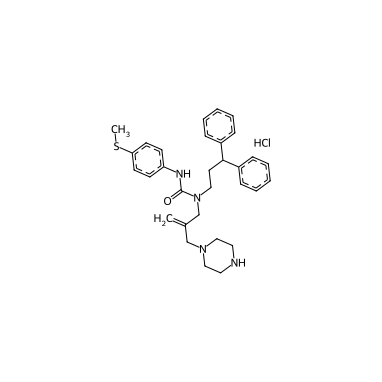 C=C(CN1CCNCC1)CN(CCC(c1ccccc1)c1ccccc1)C(=O)Nc1ccc(SC)cc1.Cl